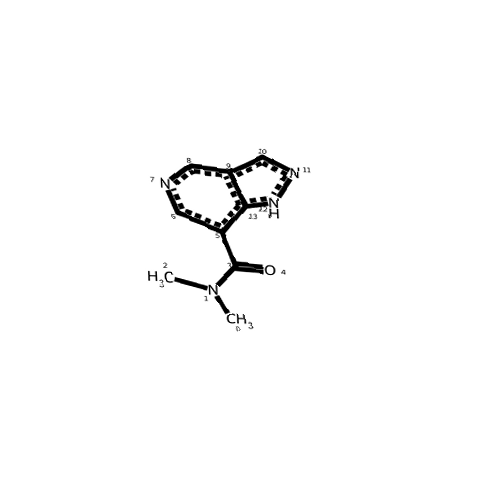 CN(C)C(=O)c1cncc2cn[nH]c12